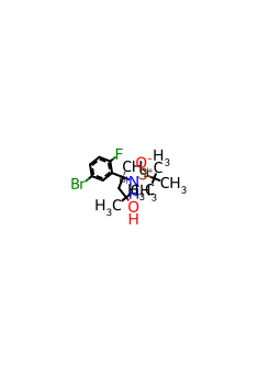 CC(C)(O)C[C@](C)(N[S@+]([O-])C(C)(C)C)c1cc(Br)ccc1F